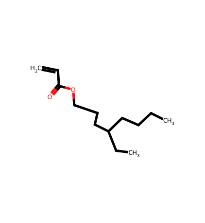 C=CC(=O)OCCCC(CC)CCCC